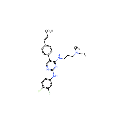 CN(C)CCCNc1nc(Nc2ccc(F)c(Cl)c2)ncc1-c1ccc(C=CC(=O)O)cc1